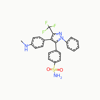 CNc1ccc(-c2c(C(F)(F)F)nn(-c3ccccc3)c2-c2ccc(S(N)(=O)=O)cc2)cc1